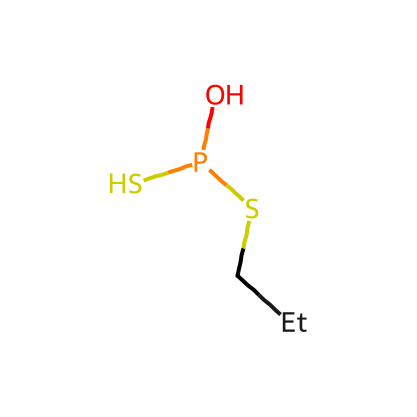 CCCSP(O)S